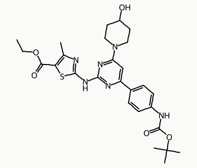 CCOC(=O)c1sc(Nc2nc(-c3ccc(NC(=O)OC(C)(C)C)cc3)cc(N3CCC(O)CC3)n2)nc1C